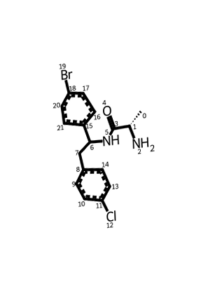 C[C@H](N)C(=O)NC(Cc1ccc(Cl)cc1)c1ccc(Br)cc1